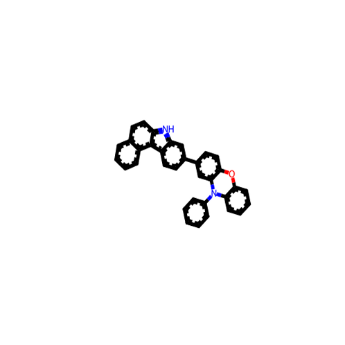 c1ccc(N2c3ccccc3Oc3ccc(-c4ccc5c(c4)[nH]c4ccc6ccccc6c45)cc32)cc1